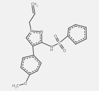 C=CCn1cc(-c2ccc(OC)cc2)c(NS(=O)(=O)c2ccccc2)n1